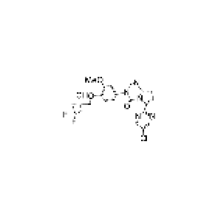 COc1cc(-n2cnc3ccc(-c4ncc(Cl)cn4)n3c2=O)ccc1OCC1(O)CC(F)(F)C1